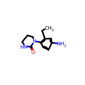 CCc1cc(N)ccc1N1CCCNC1=O